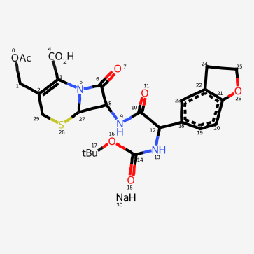 CC(=O)OCC1=C(C(=O)O)N2C(=O)C(NC(=O)C(NC(=O)OC(C)(C)C)c3ccc4c(c3)CCO4)C2SC1.[NaH]